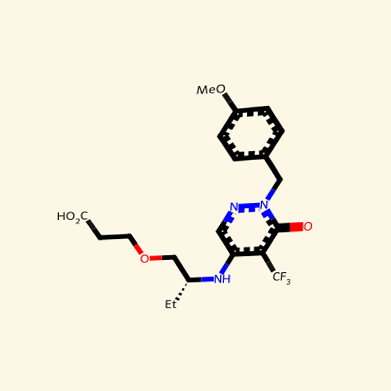 CC[C@H](COCCC(=O)O)Nc1cnn(Cc2ccc(OC)cc2)c(=O)c1C(F)(F)F